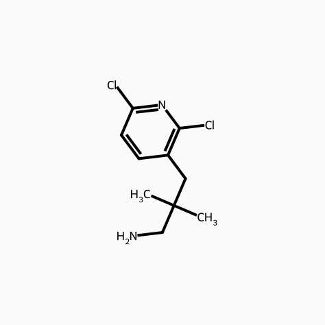 CC(C)(CN)Cc1ccc(Cl)nc1Cl